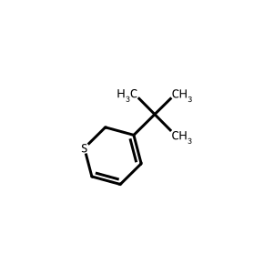 CC(C)(C)C1=CC=CSC1